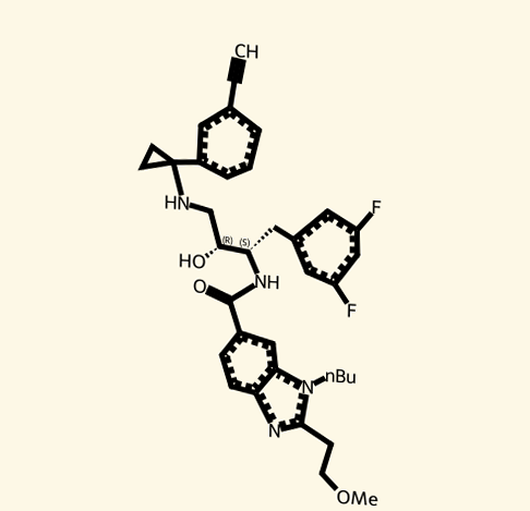 C#Cc1cccc(C2(NC[C@@H](O)[C@H](Cc3cc(F)cc(F)c3)NC(=O)c3ccc4nc(CCOC)n(CCCC)c4c3)CC2)c1